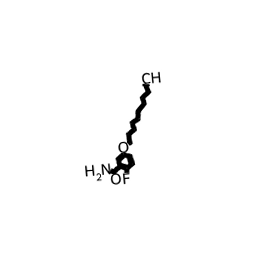 C#CCCCCCCCCCOc1ccc(F)c(C(N)=O)c1